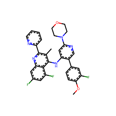 COc1ccc(-c2cnc(N3CCOCC3)cc2Nc2c(C)c(-c3ccccn3)nc3cc(F)cc(F)c23)cc1F